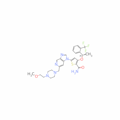 COCCN1CCN(Cc2cc3c(cn2)ncn3-c2cc(O[C@H](C)c3ccccc3C(F)(F)F)c(C(N)=O)s2)CC1